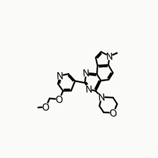 COCOc1cncc(-c2nc(N3CCOCC3)c3ccc4c(ccn4C)c3n2)c1